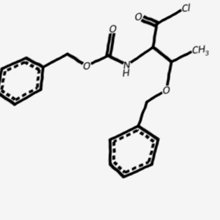 CC(OCc1ccccc1)C(NC(=O)OCc1ccccc1)C(=O)Cl